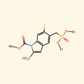 CCOP(=O)(Cc1cc2cc(C(=O)O)n(C(=O)OC(C)(C)C)c2cc1F)OCC